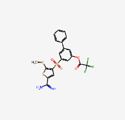 CSc1sc(C(=N)N)cc1S(=O)(=O)c1cc(OC(=O)C(F)(F)F)cc(-c2ccccc2)c1